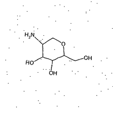 NC1COC(CO)C(O)C1O